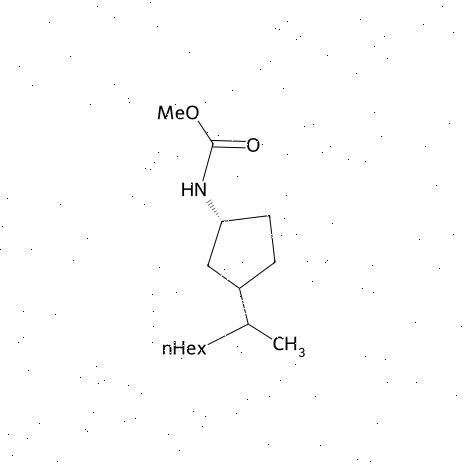 CCCCCCC(C)C1CC[C@@H](NC(=O)OC)C1